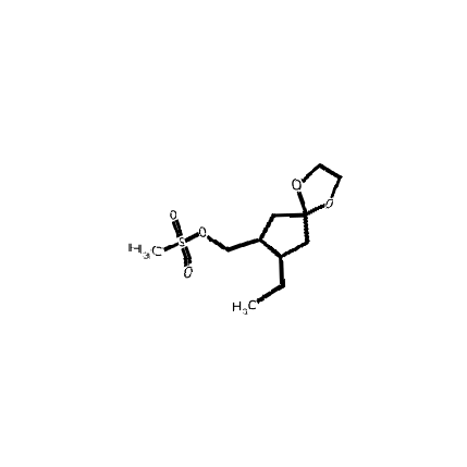 CCC1CC2(CC1COS(C)(=O)=O)OCCO2